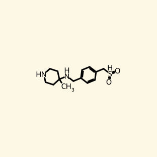 CC1(NCc2ccc(C[SH](=O)=O)cc2)CCNCC1